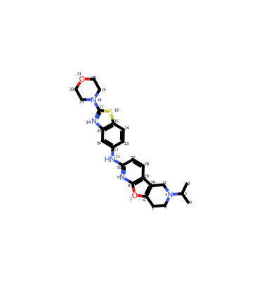 CC(C)N1CCc2oc3nc(Nc4ccc5sc(N6CCOCC6)nc5c4)ccc3c2C1